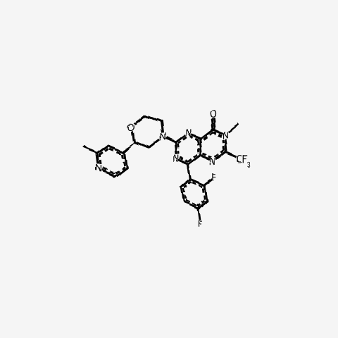 Cc1cc([C@@H]2CN(c3nc(-c4ccc(F)cc4F)c4nc(C(F)(F)F)n(C)c(=O)c4n3)CCO2)ccn1